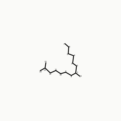 [CH2]C(CCCCCC)CCCCCC(C)C